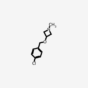 CN1CC(OCc2ccc(Cl)cc2)C1